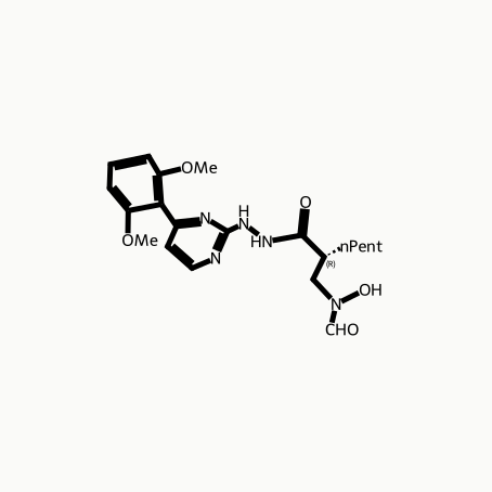 CCCCC[C@H](CN(O)C=O)C(=O)NNc1nccc(-c2c(OC)cccc2OC)n1